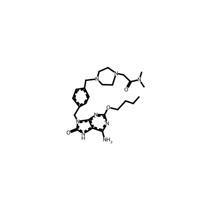 CCCCOc1nc(N)c2[nH]c(=O)n(Cc3ccc(CN4CCN(CC(=O)N(C)C)CC4)cc3)c2n1